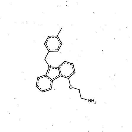 Cc1ccc(Cn2c3ccccc3c3c(OCCN)cccc32)cc1